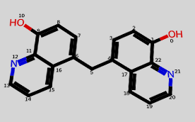 Oc1ccc(Cc2ccc(O)c3ncccc23)c2cccnc12